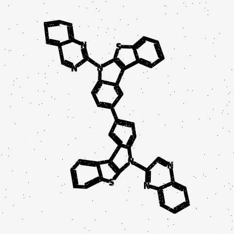 c1ccc2nc(-n3c4ccc(-c5ccc6c(c5)c5c7ccccc7sc5n6-c5cnc6ccccc6n5)cc4c4c5ccccc5sc43)ncc2c1